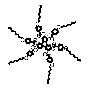 C=CCCCCCCOc1ccc(C(=O)Oc2cc3c4cc(OC(=O)c5ccc(OCCCCCCC=C)cc5)c(OC(=O)c5ccc(OCCCCCCC=C)cc5)cc4c4cc(OC(=O)c5ccc(OCCCCCCC=C)cc5)c(OC(=O)c5ccc(OCCCCCCC=C)cc5)cc4c3cc2OC(=O)c2ccc(OCCCCCCC=C)cc2)cc1